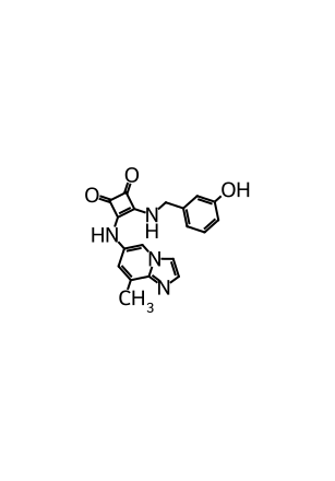 Cc1cc(Nc2c(NCc3cccc(O)c3)c(=O)c2=O)cn2ccnc12